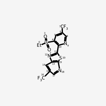 CCS(=O)(=O)c1cc(C(F)(F)F)cnc1-c1nc2cc(C(F)(F)F)cnc2s1